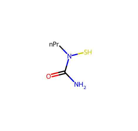 [CH2]CCN(S)C(N)=O